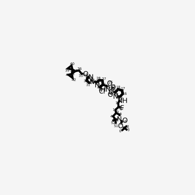 CC(C)(C)OC(=O)N1CC(CC(F)CNc2cccc(S(=O)(=O)NC(=O)c3ccc(-n4ccc(OCCC5C6(CC6)C56CC6)n4)nc3Cl)n2)CC1(C)C